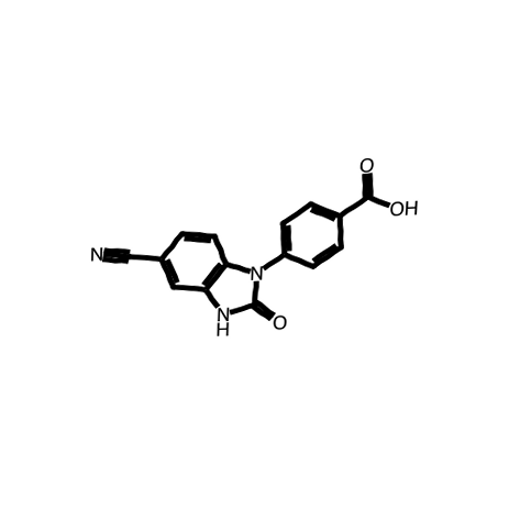 N#Cc1ccc2c(c1)[nH]c(=O)n2-c1ccc(C(=O)O)cc1